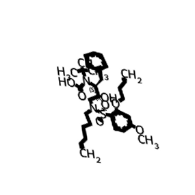 C=CCCCCN(C[C@@H](O)[C@H](Cc1ccccc1)N(C(=O)O)C(C)(C)C)S(=O)(=O)c1ccc(OC)cc1OCCC=C